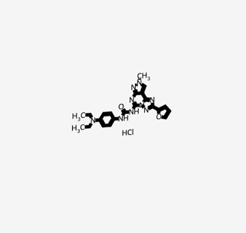 CCN(CC)c1ccc(NC(=O)Nc2nc3nn(C)cc3c3nc(-c4ccco4)nn23)cc1.Cl